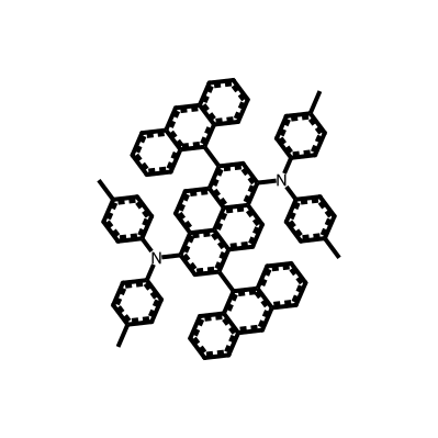 Cc1ccc(N(c2ccc(C)cc2)c2cc(-c3c4ccccc4cc4ccccc34)c3ccc4c(N(c5ccc(C)cc5)c5ccc(C)cc5)cc(-c5c6ccccc6cc6ccccc56)c5ccc2c3c54)cc1